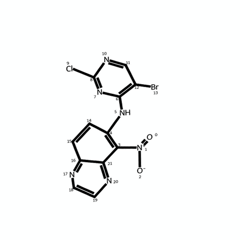 O=[N+]([O-])c1c(Nc2nc(Cl)ncc2Br)ccc2nccnc12